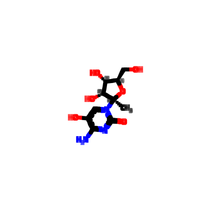 C[C@@]1(n2cc(O)c(N)nc2=O)O[C@H](CO)[C@@H](O)[C@H]1O